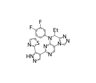 CCC1c2nncn2-c2cnc(-c3cn[nH]c3-c3nccs3)nc2N1c1ccc(F)c(F)c1